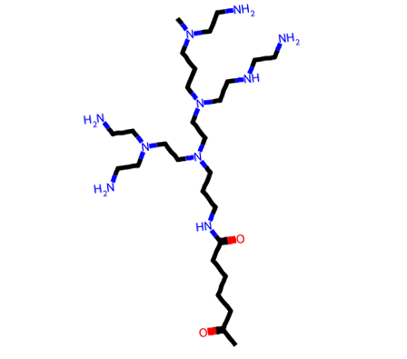 CC(=O)CCCCC(=O)NCCCN(CCN(CCN)CCN)CCN(CCCN(C)CCN)CCNCCN